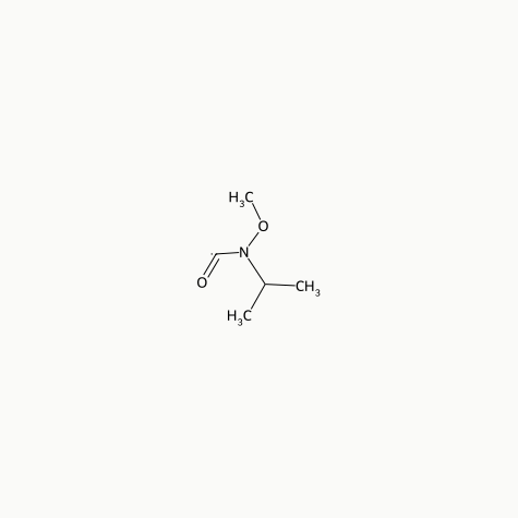 CON([C]=O)C(C)C